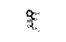 NC(=O)CNC(=O)c1ccccc1S